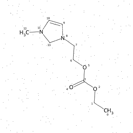 CCOC(=O)OCCN1C=CN(C)C1